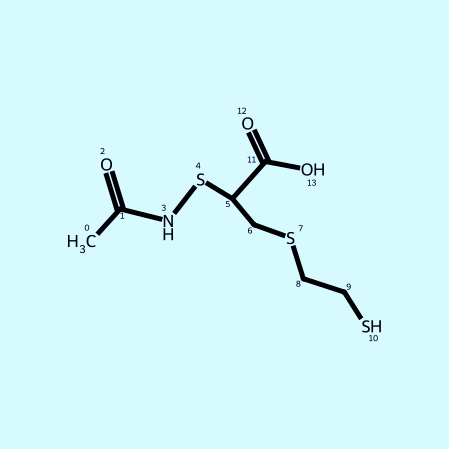 CC(=O)NSC(CSCCS)C(=O)O